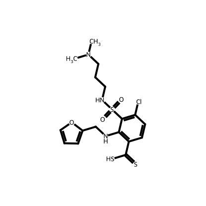 CN(C)CCCNS(=O)(=O)c1c(Cl)ccc(C(=S)S)c1NCc1ccco1